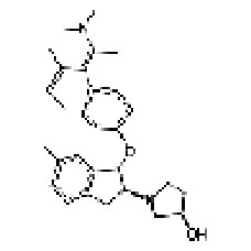 C/C=C(C)\C(=C(\C)N(C)C)c1ccc(O[C@H]2c3cc(C)ccc3C[C@@H]2N2CC[C@@H](O)C2)cc1